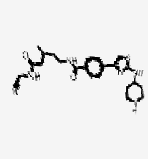 CC(CCNC(=O)c1ccc(-c2csc(NC3CCNCC3)n2)cc1)CC(=O)NCC#N